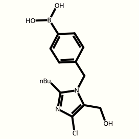 CCCCc1nc(Cl)c(CO)n1Cc1ccc(B(O)O)cc1